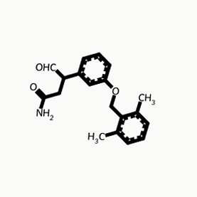 Cc1cccc(C)c1COc1cccc(C(C=O)CC(N)=O)c1